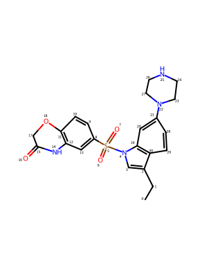 CCc1cn(S(=O)(=O)c2ccc3c(c2)NC(=O)CO3)c2cc(N3CCNCC3)ccc12